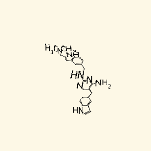 CN(C)Cc1cc2cc(CNc3ncc(Cc4ccc5[nH]ccc5c4)c(N)n3)ccc2[nH]1